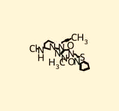 CC#CCn1c(N2CCC[C@@H](NCl)C2)nc2c1c(=O)n(Cc1nc3ccccc3s1)c(=O)n2C